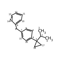 CC(C)C1(c2ccc(Cc3cc[c]cn3)cc2)CC1